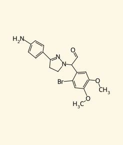 COc1cc(Br)c(C(C=O)N2CCC(c3ccc(N)cc3)=N2)cc1OC